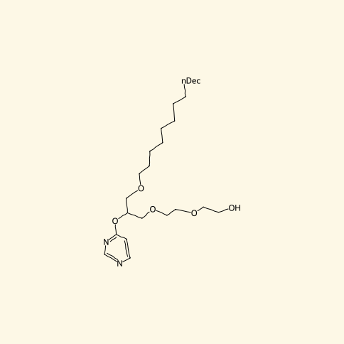 CCCCCCCCCCCCCCCCCCOCC(COCCOCCO)Oc1ccncn1